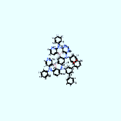 c1ccc(-c2cc(-c3ccccc3)cc(N3c4cc5c(cc4B4c6cnccc6N(c6ccccc6)c6cccc3c64)B3c4cccnc4N(c4ccccc4)c4ncnc(c43)N5c3ccccc3)c2)cc1